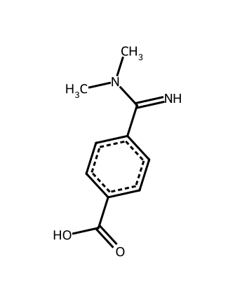 CN(C)C(=N)c1ccc(C(=O)O)cc1